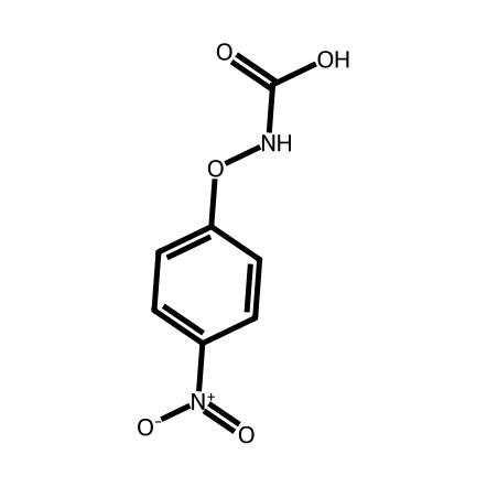 O=C(O)NOc1ccc([N+](=O)[O-])cc1